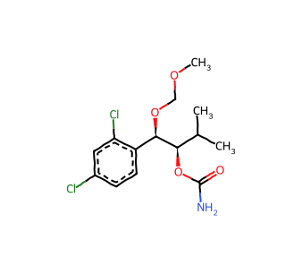 COCO[C@H](c1ccc(Cl)cc1Cl)[C@H](OC(N)=O)C(C)C